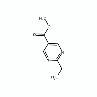 CCc1ncc(C(=O)OC)cn1